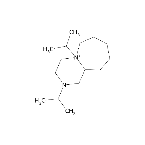 CC(C)N1CC[N+]2(C(C)C)CCCCCC2C1